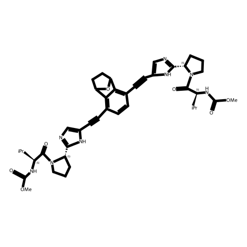 COC(=O)N[C@H](C(=O)N1CCC[C@H]1c1ncc(C#Cc2ccc(C#Cc3cnc([C@@H]4CCCN4C(=O)[C@@H](NC(=O)OC)C(C)C)[nH]3)c3c2C2CCC3O2)[nH]1)C(C)C